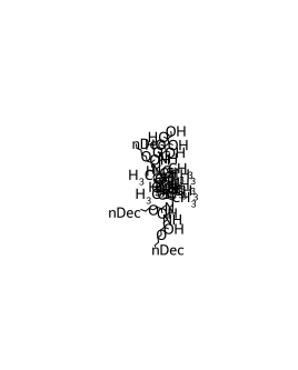 CCCCCCCCCCCCCOCC(O)CNCCN(CC(C)C[Si](C)(O[Si](C)(C)C)O[Si](C)(C)O[Si](C)(CC(C)CN(CCNC(=O)C(O)C(O)C(O)C(O)CO)CC(O)COCCCCCCCCCCCCC)O[Si](C)(C)O[Si](C)(C)C)CC(O)COCCCCCCCCCCCCC